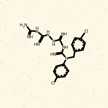 N=C(N)NC(=N)NNC(=N)NC(=N)N(Cc1ccc(Cl)cc1)c1ccc(Cl)cc1